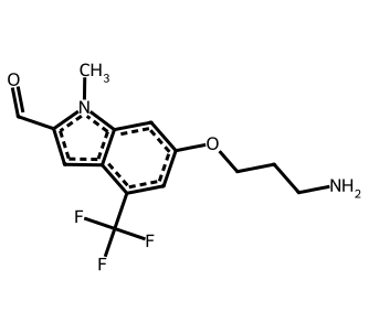 Cn1c(C=O)cc2c(C(F)(F)F)cc(OCCCN)cc21